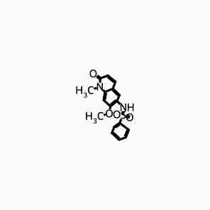 COc1cc2c(ccc(=O)n2C)cc1NS(=O)(=O)c1ccccc1